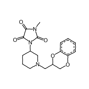 CN1C(=O)C(=O)N(C2CCCN(CC3COc4ccccc4O3)C2)C1=O